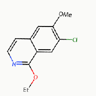 CCOc1nccc2cc(OC)c(Cl)cc12